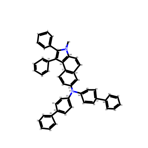 Cn1c(-c2ccccc2)c(-c2ccccc2)c2c3ccc(N(c4ccc(-c5ccccc5)cc4)c4ccc(-c5ccccc5)cc4)cc3ccc21